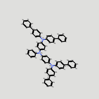 c1ccc(-c2ccc(N(c3ccc(-c4ccccc4)cc3)c3ccc(N(c4ccccc4)c4ccc(N(c5ccc(-c6ccccc6)cc5)c5ccc(-c6ccccc6)cc5)cc4)cc3)cc2)cc1